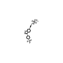 CS(=O)(=O)OCC#Cc1ccc2c(-c3ccc(C(F)(F)F)cc3)nsc2c1